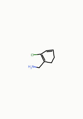 NCC1=C(Cl)C=CCC1